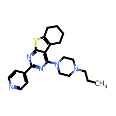 CCCN1CCN(c2nc(-c3ccncc3)nc3sc4c(c23)CCCC4)CC1